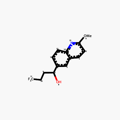 COc1ccc2cc(C(O)CCC(F)(F)F)ccc2n1